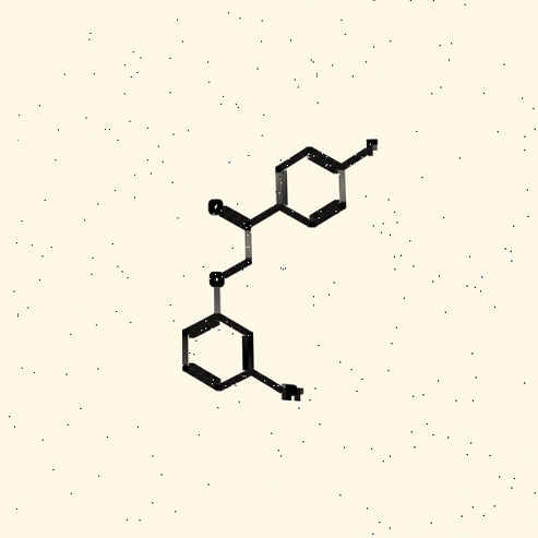 CC(C)c1cccc(OCC(=O)c2ccc(F)cc2)c1